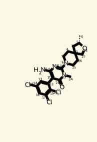 C[C@H]1CC2(CCN(c3nc(N)c(-c4cc(Cl)cc(Cl)c4Cl)c(=O)n3C)CC2)CO1